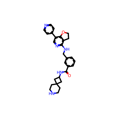 O=C(NC1CC2(CCNCC2)C1)c1cccc(CNc2ncc(-c3ccncc3)c3c2CCO3)c1